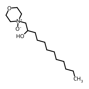 CCCCCCCCCCC(O)C[N+]1([O-])CCOCC1